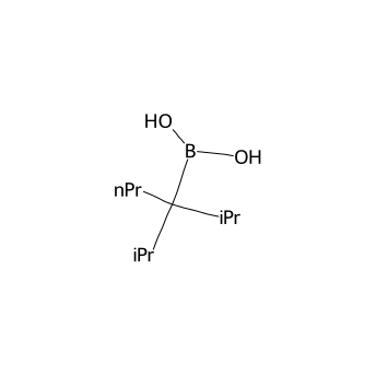 CCCC(B(O)O)(C(C)C)C(C)C